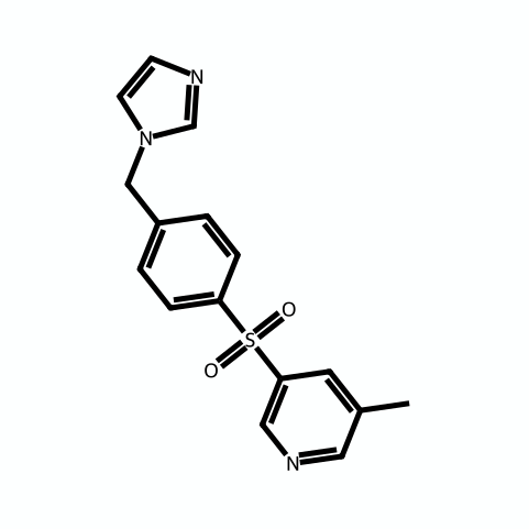 Cc1cncc(S(=O)(=O)c2ccc(Cn3ccnc3)cc2)c1